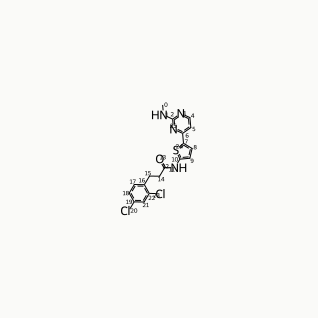 CNc1nccc(-c2ccc(NC(=O)CCc3ccc(Cl)cc3Cl)s2)n1